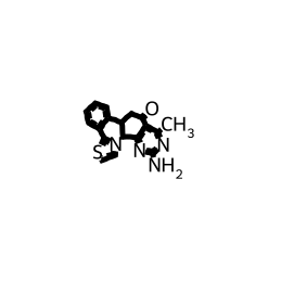 Cc1nc(N)nc2c1C(=O)CC(c1ccccc1-c1nccs1)C2